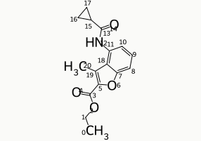 CCOC(=O)c1oc2cccc(NC(=O)C3CC3)c2c1C